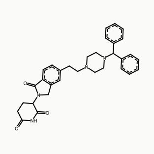 O=C1CCC(N2Cc3cc(CCN4CCN(C(c5ccccc5)c5ccccc5)CC4)ccc3C2=O)C(=O)N1